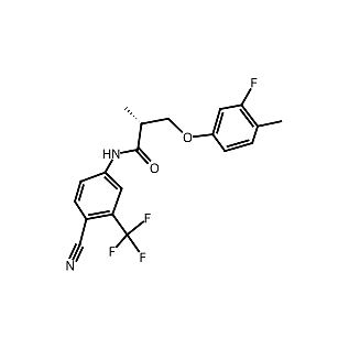 Cc1ccc(OC[C@@H](C)C(=O)Nc2ccc(C#N)c(C(F)(F)F)c2)cc1F